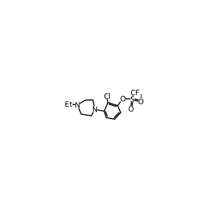 CCN1CCN(c2cccc(OS(=O)(=O)C(F)(F)F)c2Cl)CC1